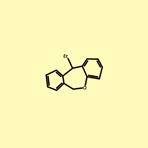 CCC1c2ccccc2COc2ccccc21